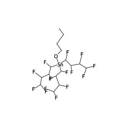 CCCC[O][Sn]([CH](F)C(F)C(F)C(F)F)([CH](F)C(F)C(F)C(F)F)[CH](F)C(F)C(F)C(F)F